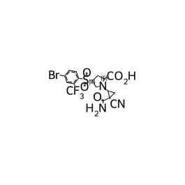 N#CC1(C(N)=O)CC1N1C[C@H](S(=O)(=O)c2ccc(Br)cc2C(F)(F)F)C[C@H]1C(=O)O